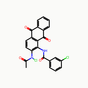 CC(=O)N(Cl)c1ccc2c(c1NC(=O)c1cccc(Cl)c1)C(=O)c1ccccc1C2=O